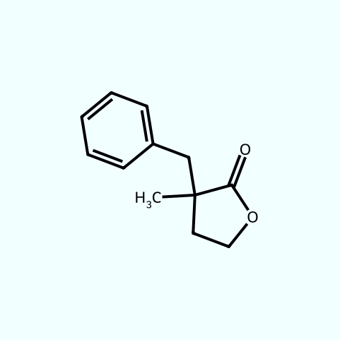 CC1(Cc2ccccc2)CCOC1=O